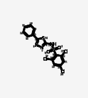 O=S(=O)(Nc1nnc(-c2ccccc2)s1)c1c(Cl)cc(Cl)cc1Cl